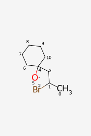 CC(Br)CC1([O])CCCCC1